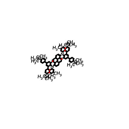 Cc1cccc(N(c2c(F)cc(-c3ccc([Si](C)(C)C)cc3)cc2-c2ccc([Si](C)(C)C)cc2)c2ccc3ccc4c(N(c5cccc(C)c5)c5c(F)cc(-c6ccc([Si](C)(C)C)cc6)cc5-c5ccc([Si](C)(C)C)cc5)ccc5ccc2c3c54)c1